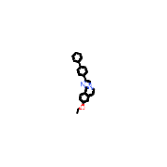 CCOc1ccc2c(ccn3cc(-c4ccc(-c5ccccc5)cc4)nc23)c1